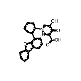 O=C(O)c1nn(-c2ccccc2-c2cccc3c2oc2ccccc23)cc(O)c1=O